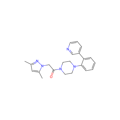 Cc1cc(C)n(CC(=O)N2CCN(c3ccccc3-c3cccnc3)CC2)n1